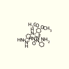 COc1cc(F)c(C(Nc2ccc3c(c2)CNC3=N)c2nn(-c3ccccc3N)c(=O)[nH]2)cc1OC